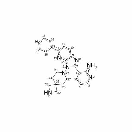 Nc1ncccc1-c1nc2ccc(-c3ccccc3)nc2n1N1CCC2(CC1)CNC2